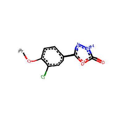 CC(C)Oc1ccc(-c2n[nH]c(=O)o2)cc1Cl